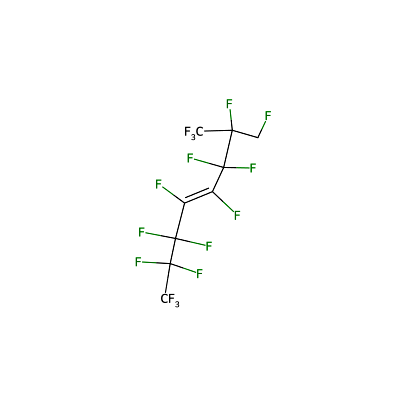 FCC(F)(C(F)(F)F)C(F)(F)C(F)=C(F)C(F)(F)C(F)(F)C(F)(F)F